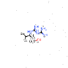 CCC(CC)C(C)NC(=N)NC(=N)N.O=[N+]([O-])O